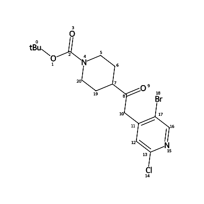 CC(C)(C)OC(=O)N1CCC(C(=O)Cc2cc(Cl)ncc2Br)CC1